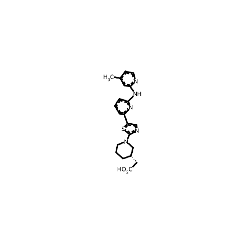 Cc1ccnc(Nc2cccc(-c3cnc(N4CCC[C@@H](CC(=O)O)C4)s3)n2)c1